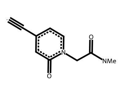 [C]#Cc1ccn(CC(=O)NC)c(=O)c1